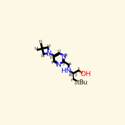 CC(C)(C)C[C@H](CO)NCc1ncc(N2CC(C)(C)C2)cn1